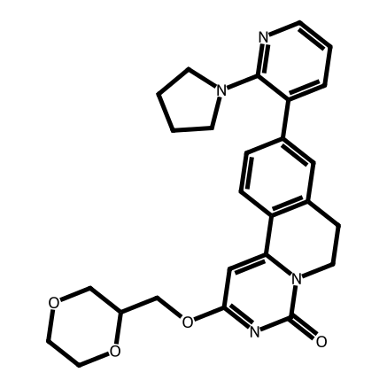 O=c1nc(OCC2COCCO2)cc2n1CCc1cc(-c3cccnc3N3CCCC3)ccc1-2